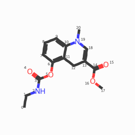 CCNC(=O)Oc1cccc2c1CC(C(=O)OC)=CN2C